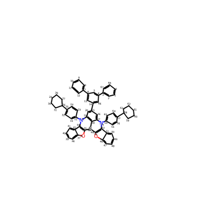 c1ccc(-c2cc(-c3ccccc3)cc(-c3cc4c5c(c3)N(c3ccc(C6CCCCC6)cc3)c3c(oc6ccccc36)B5c3oc5ccccc5c3N4c3ccc(C4CCCCC4)cc3)c2)cc1